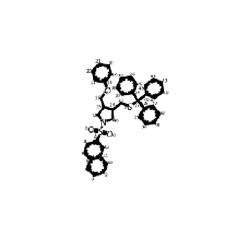 O=S(=O)(c1ccc2ccccc2c1)N1CC(COc2ccccc2)C(CSC(c2ccccc2)(c2ccccc2)c2ccccc2)C1